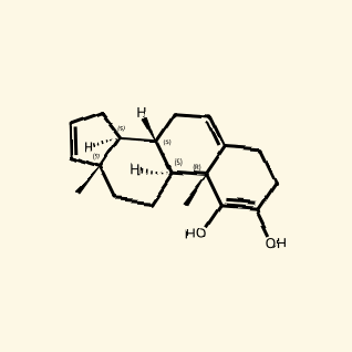 C[C@]12C(=CC[C@@H]3[C@@H]1CC[C@]1(C)C=CC[C@@H]31)CCC(O)=C2O